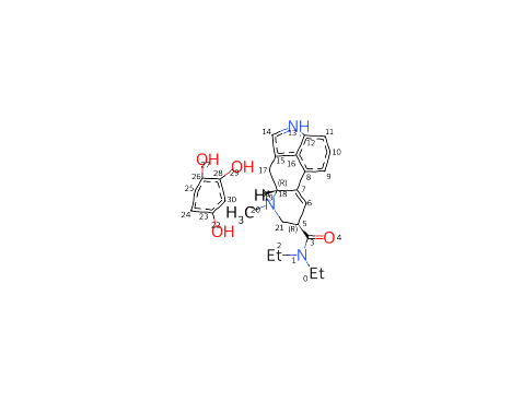 CCN(CC)C(=O)[C@@H]1C=C2c3cccc4[nH]cc(c34)C[C@H]2N(C)C1.Oc1ccc(O)c(O)c1